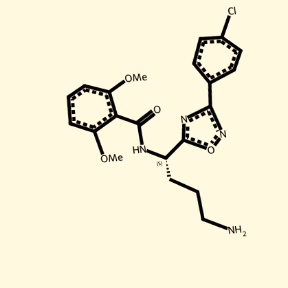 COc1cccc(OC)c1C(=O)N[C@@H](CCCN)c1nc(-c2ccc(Cl)cc2)no1